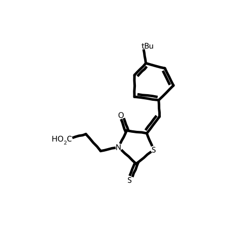 CC(C)(C)c1ccc(C=C2SC(=S)N(CCC(=O)O)C2=O)cc1